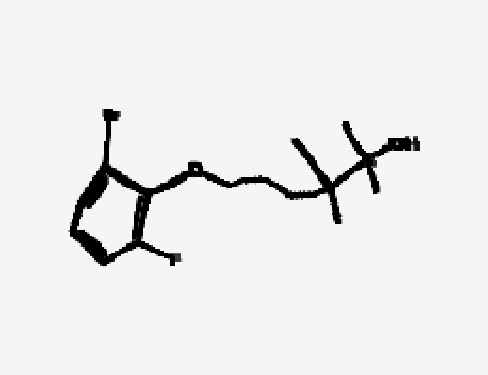 CC(C)(CCCOc1c(F)cccc1Br)[Si](C)(C)O